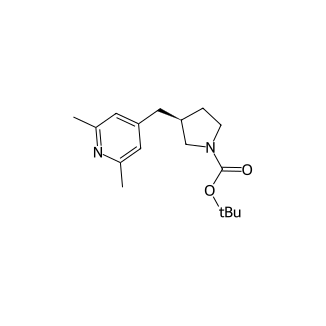 Cc1cc(C[C@H]2CCN(C(=O)OC(C)(C)C)C2)cc(C)n1